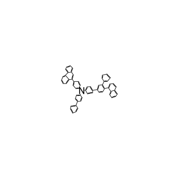 c1ccc(-c2ccc(N(c3ccc(-c4ccc(-c5cccc6ccccc56)c(-c5ccccc5)c4)cc3)c3ccc(-c4cc5ccccc5c5ccccc45)cc3)cc2)cc1